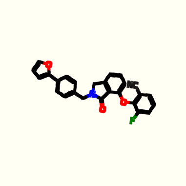 N#Cc1cccc(F)c1Oc1cccc2c1C(=O)N(Cc1ccc(-c3ccco3)cc1)C2